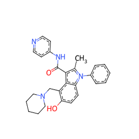 Cc1c(C(=O)Nc2ccncc2)c2c(CN3CCCCC3)c(O)ccc2n1-c1ccccc1